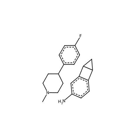 CN1CCC(c2ccc(F)cc2)CC1.Nc1ccc2c(c1)C1CC21